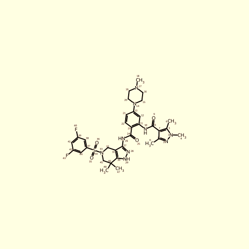 Cc1nn(C)c(C)c1C(=O)Nc1cc(N2CCN(C)CC2)ccc1C(=O)Nc1n[nH]c2c1CN(S(=O)(=O)c1cc(F)cc(F)c1)CC2(C)C